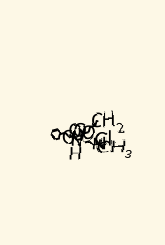 C=CCOC(=O)[C@H](CCCN(C)Cl)NC(=O)OCc1ccccc1